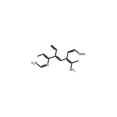 C=CC(=C\C(\C=C/NC)=C(\C)N)/C(=C/C)/N=C\N